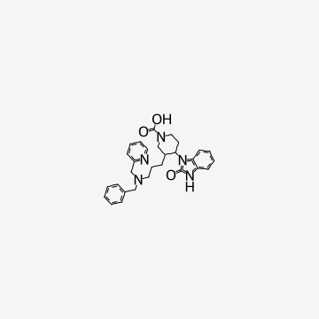 O=C(O)N1CCC(n2c(=O)[nH]c3ccccc32)C(CCCN(Cc2ccccc2)Cc2ccccn2)C1